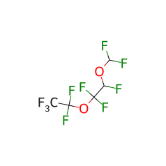 FC(F)OC(F)C(F)(F)OC(F)(F)C(F)(F)F